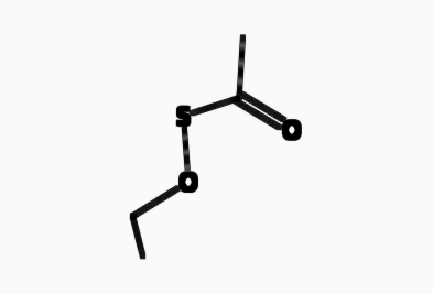 CCOSC(C)=O